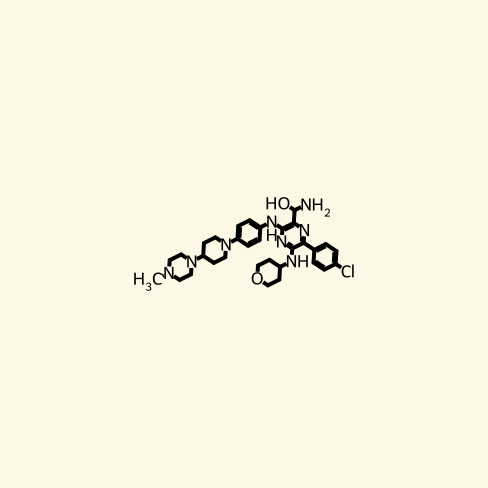 CN1CCN(C2CCN(c3ccc(Nc4nc(NC5CCOCC5)c(-c5ccc(Cl)cc5)nc4C(N)O)cc3)CC2)CC1